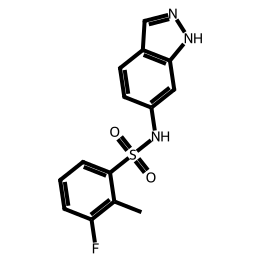 Cc1c(F)cccc1S(=O)(=O)Nc1ccc2cn[nH]c2c1